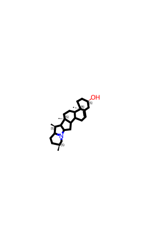 C[C@H]1CCC2[C@@H](C)C3C(CC4C5CC=C6C[C@@H](O)CC[C@]6(C)C5CC[C@@]43C)N2C1